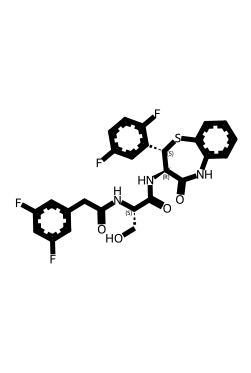 O=C(Cc1cc(F)cc(F)c1)N[C@@H](CO)C(=O)N[C@@H]1C(=O)Nc2ccccc2S[C@H]1c1cc(F)ccc1F